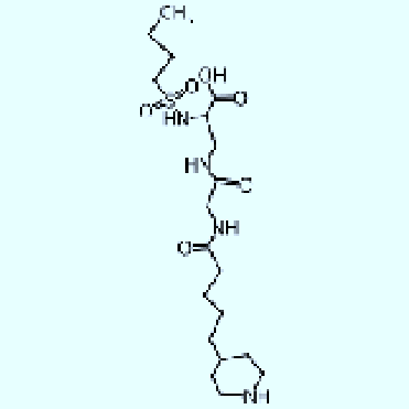 CCCCS(=O)(=O)NC(CNC(=O)CNC(=O)CCCCC1CCNCC1)C(=O)O